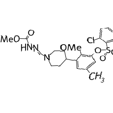 COC(=O)NN=CN1CCC(c2cc(C)cc(OS(=O)(=O)c3ccccc3Cl)c2OC)CC1